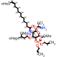 C=CCOP(=O)(OCC=C)O[C@H]1[C@H](OCC[C@@H](CCCCCCC)OC)[C@@H](NC(=O)CCCCCCCCC/C=C\CCCCCC)[C@@H](O[C@@H](N)C(Cl)(Cl)Cl)O[C@@H]1COC